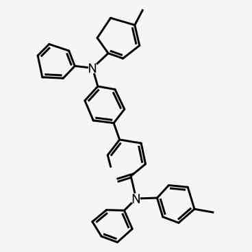 C=C(/C=C\C(=C/C)c1ccc(N(C2=CC=C(C)CC2)c2ccccc2)cc1)N(c1ccccc1)c1ccc(C)cc1